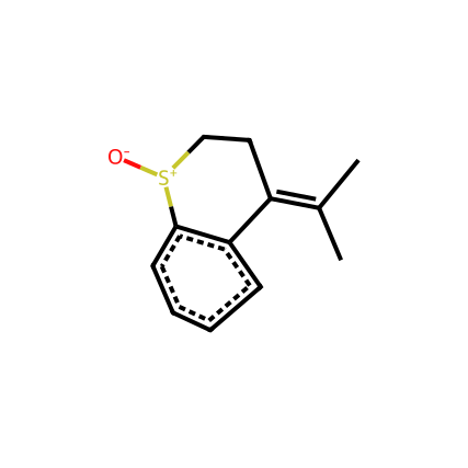 CC(C)=C1CC[S+]([O-])c2ccccc21